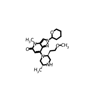 COCC[C@H]1CN[C@H](C)CN1c1cc(=O)n(C)c2cn(C3CCCCO3)nc12